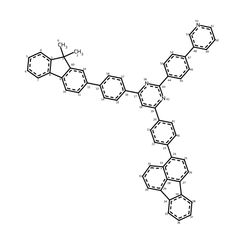 CC1(C)c2ccccc2-c2ccc(-c3ccc(-c4cc(-c5ccc(-c6ccc7c8c(cccc68)-c6ccccc6-7)cc5)nc(-c5ccc(-c6cccnc6)cc5)n4)cc3)cc21